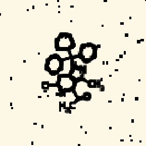 CC(=O)c1nc(Cl)cc2c1c(C)nn2C(c1ccccc1)(c1ccccc1)c1ccccc1